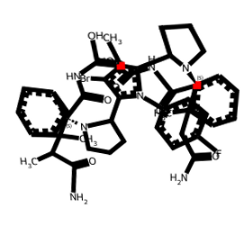 Cc1c(Br)c(C2CCCN2[C@@]2(C(=O)NC(=O)O)c3ccc(cc3)C2(C)C(C)C(N)=O)n(-c2ccc(F)cc2)c1C1CCCN1[C@@]1(C(=O)NC(=O)O)c2ccc(cc2)C1(C)CC(N)=O